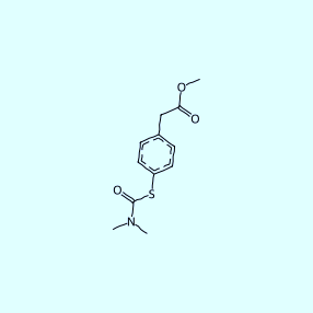 COC(=O)Cc1ccc(SC(=O)N(C)C)cc1